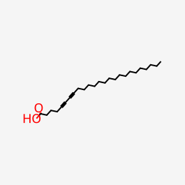 CCCCCCCCCCCCCCCCCC#CC#CCCCC(=O)O